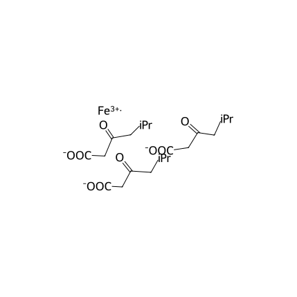 CC(C)CC(=O)CC(=O)[O-].CC(C)CC(=O)CC(=O)[O-].CC(C)CC(=O)CC(=O)[O-].[Fe+3]